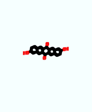 O=C1c2cc3ccc(O)cc3cc2C(=O)c2cc3ccc(O)cc3cc21